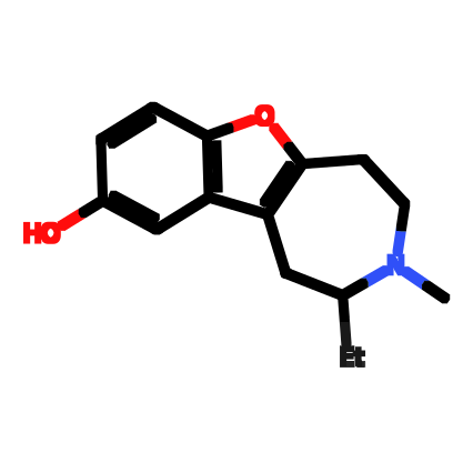 CCC1Cc2c(oc3ccc(O)cc23)CCN1C